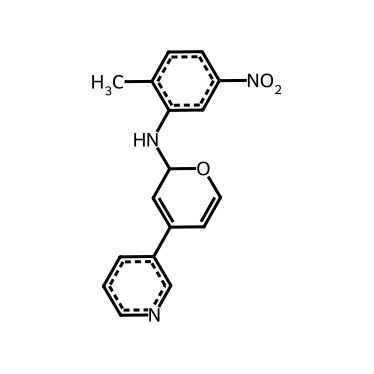 Cc1ccc([N+](=O)[O-])cc1NC1C=C(c2cccnc2)C=CO1